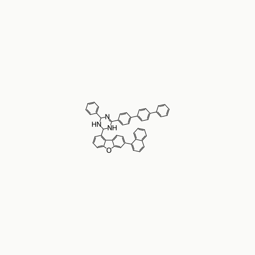 c1ccc(-c2ccc(-c3ccc(C4=NC(c5ccccc5)NC(c5cccc6oc7cc(-c8cccc9ccccc89)ccc7c56)N4)cc3)cc2)cc1